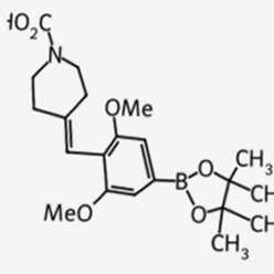 COc1cc(B2OC(C)(C)C(C)(C)O2)cc(OC)c1C=C1CCN(C(=O)O)CC1